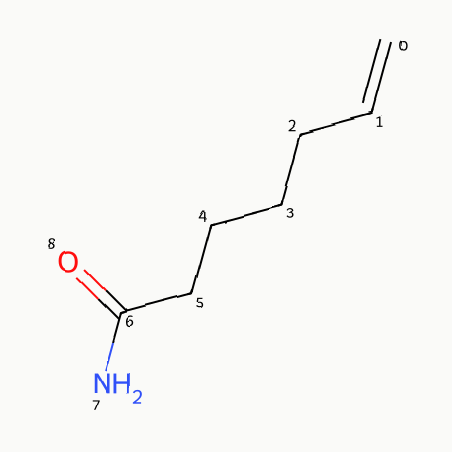 C=CCCCCC(N)=O